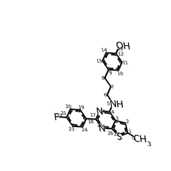 Cc1cc2c(NCCCc3ccc(O)cc3)nc(-c3ccc(F)cc3)nc2s1